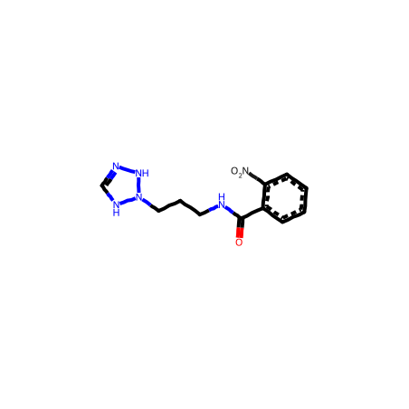 O=C(NCCCN1NC=NN1)c1ccccc1[N+](=O)[O-]